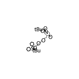 CC(C)(C)OC(=O)N1CCC(=O)C(CCOCCOCCO[Si](c2ccccc2)(c2ccccc2)C(C)(C)C)C1